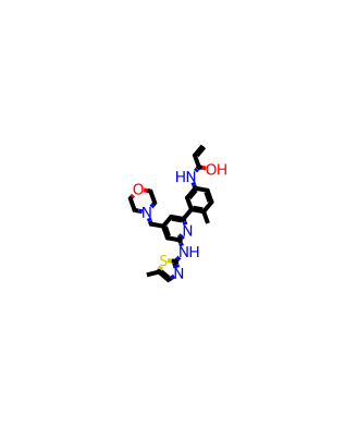 C=CC(O)Nc1ccc(C)c(-c2cc(CN3CCOCC3)cc(Nc3ncc(C)s3)n2)c1